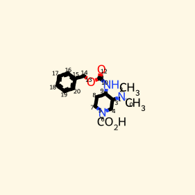 CN(C)C1CN(C(=O)O)CCC1NC(=O)OCc1ccccc1